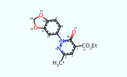 CCOC(=O)c1cc(C)nn(-c2ccc3c(c2)OCO3)c1=O